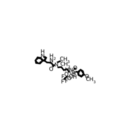 COc1ccc(S(=O)(=O)N[C@](CO)(CCCCN(CC(C)C)C(=O)[C@@H](N)Cc2c[nH]c3ccccc23)OC(=O)C(F)(F)F)cc1